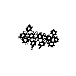 Cc1ccc2c(c1)-n1c3ccccc3c3c(N(c4ccccc4)c4ccccc4)cc4c(c31)B2c1cc2c(cc1O4)Oc1cc(N(c3ccccc3)c3ccccc3)c3c4ccccc4n4c3c1B2c1ccc(C)cc1-4